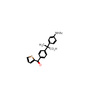 CC(=O)Nc1ccc(C(C)(C(=O)O)c2ccc(C(=O)c3cccs3)cc2)cc1